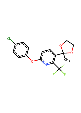 CC1(c2ccc(Oc3ccc(Cl)cc3)nc2C(F)(F)F)OCCO1